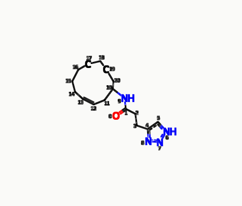 O=C(CCc1c[nH]nn1)NC1C/C=C\CCCCCCC1